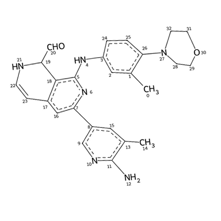 Cc1cc(Nc2nc(-c3cnc(N)c(C)c3)cc3c2C(C=O)NC=C3)ccc1N1CCOCC1